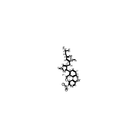 C[C@@H](Oc1cc(Br)cnc1[N+](=O)[O-])c1cc(F)ccc1-c1nn(C)cc1Cc1cc(CC(F)F)nn1C